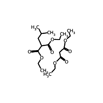 CCOC(=O)C(CC(C)C)C(=O)OCC.CCOC(=O)CC(=O)OCC